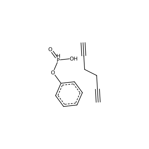 C#CCCC#C.O=[PH](O)Oc1ccccc1